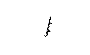 CCC/C(C)=C/CC/C(C)=C/CBr